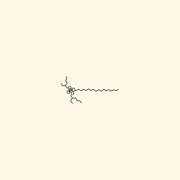 CCCCCCCCCCCCCCCCCCOP(=O)(OCC(CC)CCCC)OCC(CC)CCCC